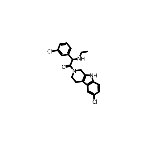 CCNC(C(=O)N1CCc2c([nH]c3ccc(Cl)cc23)C1)c1cccc(Cl)c1